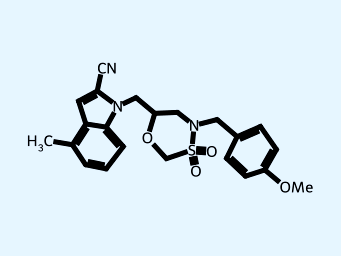 COc1ccc(CN2CC(Cn3c(C#N)cc4c(C)cccc43)OCS2(=O)=O)cc1